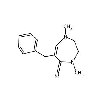 CN1C=C(Cc2ccccc2)C(=O)N(C)CC1